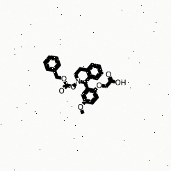 COc1ccc(OCC(=O)O)c(C2c3ccccc3CCN2OC(=O)OCc2ccccc2)c1